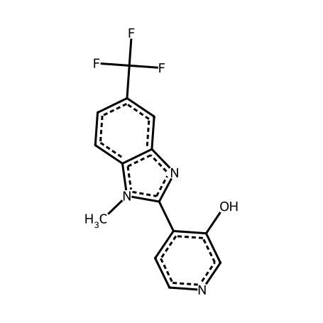 Cn1c(-c2ccncc2O)nc2cc(C(F)(F)F)ccc21